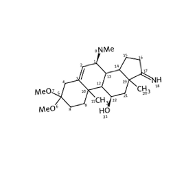 CN[C@@H]1C=C2CC(OC)(OC)CCC2(C)C2C1C1CCC(=N)C1(C)C[C@H]2O